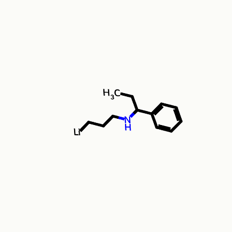 [Li][CH2]CCNC(CC)c1ccccc1